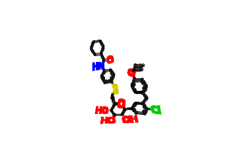 CCOc1ccc(Cc2cc([C@@H]3O[C@H](CSc4ccc(NC(=O)C5CCCCC5)cc4)[C@@H](O)[C@H](O)[C@H]3O)ccc2Cl)cc1